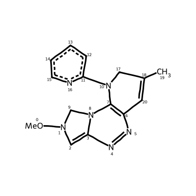 CON1C=C2N=NC3=C(N2C1)N(c1ccccn1)CC(C)=C3